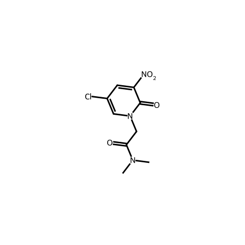 CN(C)C(=O)Cn1cc(Cl)cc([N+](=O)[O-])c1=O